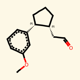 COc1cccc([C@@H]2CCC[C@@H]2CC=O)c1